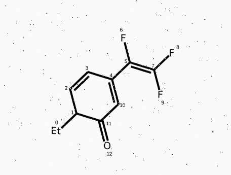 CCC1C=CC(C(F)=C(F)F)=CC1=O